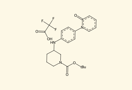 CC(C)(C)OC(=O)N1CCCC(Nc2ccc(-n3ccccc3=O)cc2)C1.O=C(O)C(F)(F)F